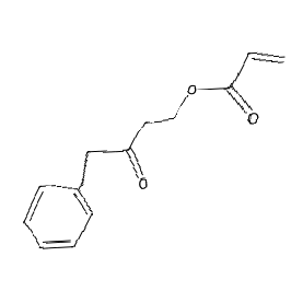 C=CC(=O)OCCC(=O)Cc1ccccc1